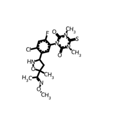 CON=C(C)C1(C)CC(c2cc(-n3c(=O)n(C)c(=S)n(C)c3=O)c(F)cc2Cl)NO1